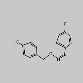 Cc1ccc(/[C]=N\OCc2ccc(C)cc2)cc1